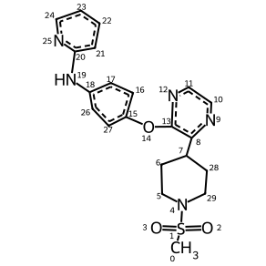 CS(=O)(=O)N1CCC(c2nccnc2Oc2ccc(Nc3ccccn3)cc2)CC1